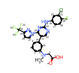 CN(CC(=O)O)c1cccc(-c2cnc(Nc3ccc(F)c(Cl)c3)nc2-n2ccc(C(F)(F)F)n2)c1